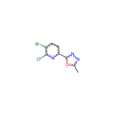 Cc1nnc(-c2ccc(Br)c(Cl)n2)o1